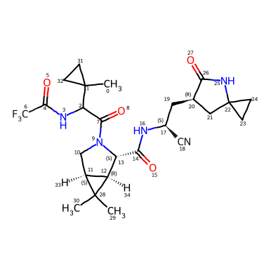 CC1(C(NC(=O)C(F)(F)F)C(=O)N2C[C@H]3[C@@H]([C@H]2C(=O)N[C@H](C#N)C[C@@H]2CC4(CC4)NC2=O)C3(C)C)CC1